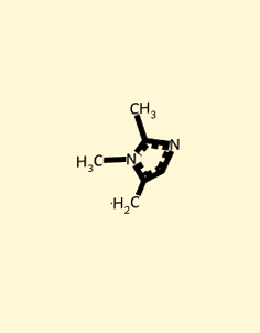 [CH2]c1cnc(C)n1C